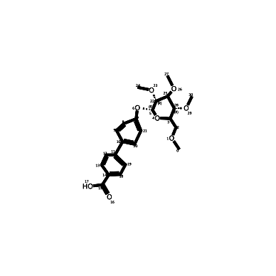 COCC1O[C@H](Oc2ccc(-c3ccc(C(=O)O)cc3)cc2)[C@H](OC)C(OC)[C@@H]1OC